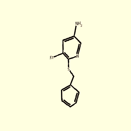 CCc1cc(N)cnc1SCc1ccccc1